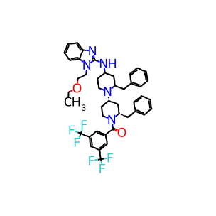 CCOCCn1c(NC2CCN([C@H]3CCN(C(=O)c4cc(C(F)(F)F)cc(C(F)(F)F)c4)[C@H](Cc4ccccc4)C3)C(Cc3ccccc3)C2)nc2ccccc21